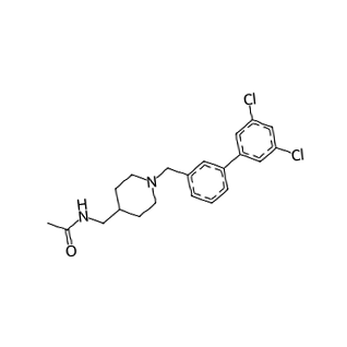 CC(=O)NCC1CCN(Cc2cccc(-c3cc(Cl)cc(Cl)c3)c2)CC1